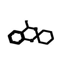 [CH2]C1OC2(CCCCC2)Oc2ccccc21